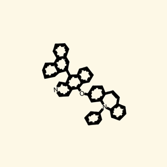 C1=Cc2ccc(Oc3c4ccccc4c(-c4cc5ccccc5c5ccccc45)c4cnccc34)cc2N(c2ccccc2)c2ccccc21